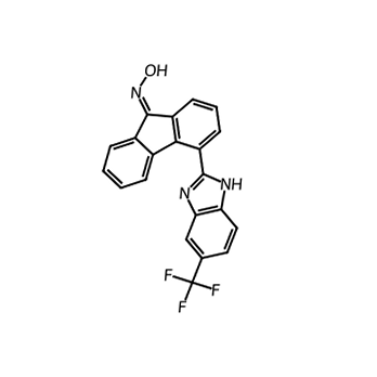 ON=C1c2ccccc2-c2c1cccc2-c1nc2cc(C(F)(F)F)ccc2[nH]1